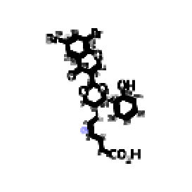 O=C(O)CC/C=C\C[C@@H]1COC(c2coc3c(Br)cc(Br)cc3c2=O)O[C@@H]1c1ccccc1O